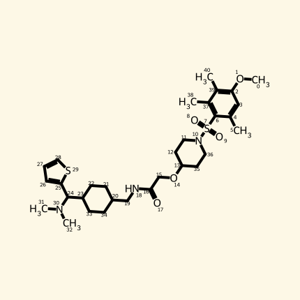 COc1cc(C)c(S(=O)(=O)N2CCC(OCC(=O)NCC3CCC(C(c4cccs4)N(C)C)CC3)CC2)c(C)c1C